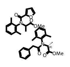 COC(=O)C(C)N(C(=O)c1ccco1)c1c(C)cccc1C.COC(=O)[C@@H](C)N(C(=O)Cc1ccccc1)c1c(C)cccc1C